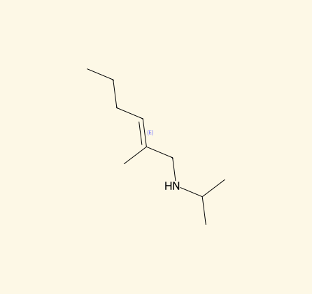 CCC/C=C(\C)CNC(C)C